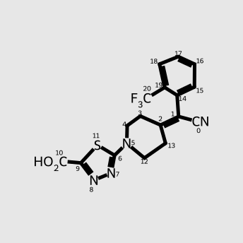 N#CC(=C1CCN(c2nnc(C(=O)O)s2)CC1)c1ccccc1C(F)(F)F